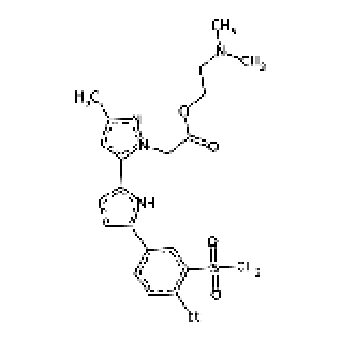 CCc1ccc(-c2ccc(-c3cc(C)nn3CC(=O)OCCN(C)C)[nH]2)cc1S(C)(=O)=O